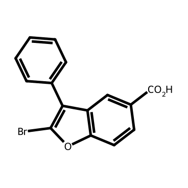 O=C(O)c1ccc2oc(Br)c(-c3ccccc3)c2c1